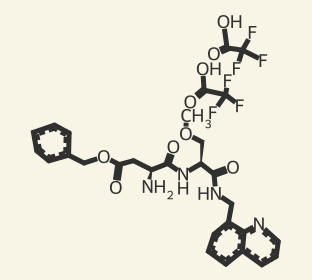 COC[C@H](NC(=O)[C@@H](N)CC(=O)OCc1ccccc1)C(=O)NCc1cccc2cccnc12.O=C(O)C(F)(F)F.O=C(O)C(F)(F)F